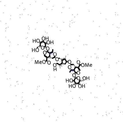 C/C=C1\[C@H](O[C@@H]2O[C@H](CO)[C@@H](O)[C@H](O)[C@H]2O)OC=C(C(=O)OC)[C@H]1CC(=O)OC[C@@H]1[C@H](C)[C@@H](OC(=O)C[C@@H]2C(C(=O)OC)=CO[C@@H](O[C@@H]3O[C@H](CO)[C@@H](O)[C@H](O)[C@H]3O)/C2=C\C)C[C@H]1[C@H](C)CO